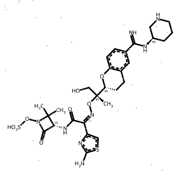 CC1(C)[C@H](NC(=O)/C(=N\O[C@](C)(CO)[C@H]2CCc3cc(C(=N)N[C@@H]4CCCNC4)ccc3O2)c2csc(N)n2)C(=O)N1OS(=O)(=O)O